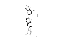 CN[C@H]1CN(c2cnc3nc(-c4cc5cn(C)nc5c(C)c4O)ccc3c2)C[C@@H]1F